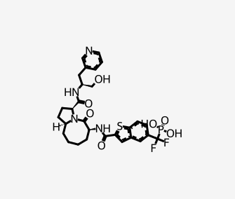 O=C(N[C@H]1CCCC[C@H]2CC[C@@H](C(=O)N[C@H](CO)Cc3cccnc3)N2C1=O)c1cc2cc(C(F)(F)P(=O)(O)O)ccc2s1